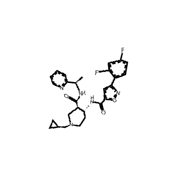 C[C@@H](NC(=O)[C@@H]1CN(CC2CC2)CC[C@H]1NC(=O)c1cc(-c2ccc(F)cc2F)no1)c1ccccn1